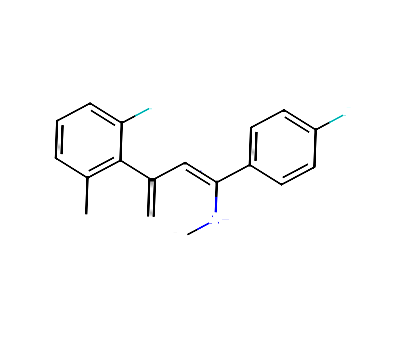 C=C(/C=C(\NCC)c1ccc(F)cc1)c1c(C)cccc1F